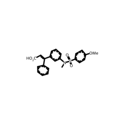 COc1ccc(S(=O)(=O)N(C)c2cccc(C(=CC(=O)O)c3ccccc3)c2)cc1